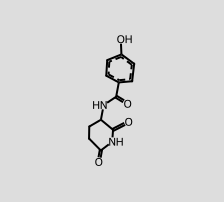 O=C1CCC(NC(=O)c2ccc(O)cc2)C(=O)N1